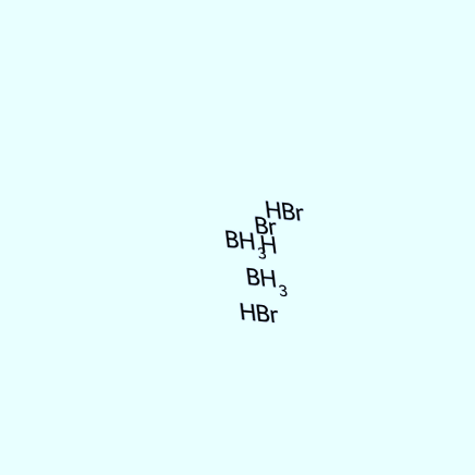 B.B.Br.Br.Br